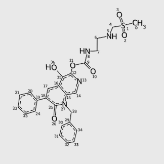 CS(=O)(=O)CNCCNC(=O)Oc1ncc2c(cc(-c3ccccc3)c(=O)n2Cc2ccccc2)c1O